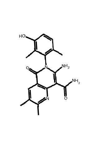 Cc1cc2c(=O)n(-c3c(C)ccc(O)c3C)c(N)c(C(N)=O)c2nc1C